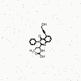 CCC(NC(=O)O)c1nc2cccc(C#CCO)c2c(=O)n1-c1ccccc1